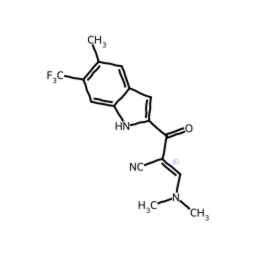 Cc1cc2cc(C(=O)/C(C#N)=C/N(C)C)[nH]c2cc1C(F)(F)F